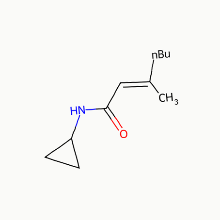 CCCC/C(C)=C/C(=O)NC1CC1